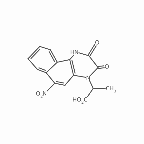 CC(C(=O)O)n1c(=O)c(=O)[nH]c2c3ccccc3c([N+](=O)[O-])cc21